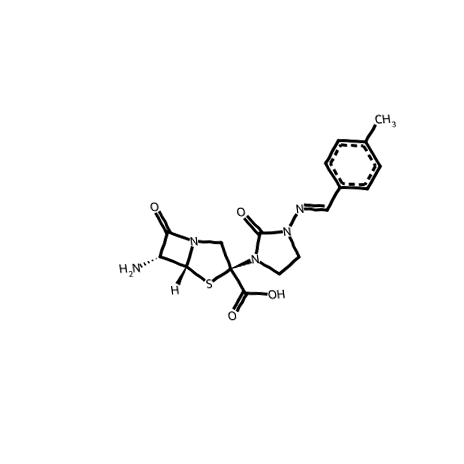 Cc1ccc(/C=N/N2CCN([C@]3(C(=O)O)CN4C(=O)[C@@H](N)[C@H]4S3)C2=O)cc1